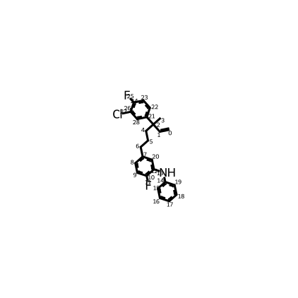 C=CC(C)(CCCc1ccc(F)c(Nc2ccccc2)c1)c1ccc(F)c(Cl)c1